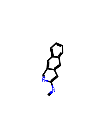 C=Nc1cc2cc3ccccc3cc2cn1